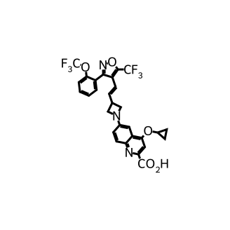 O=C(O)c1cc(OC2CC2)c2cc(N3CC(C=Cc4c(-c5ccccc5OC(F)(F)F)noc4C(F)(F)F)C3)ccc2n1